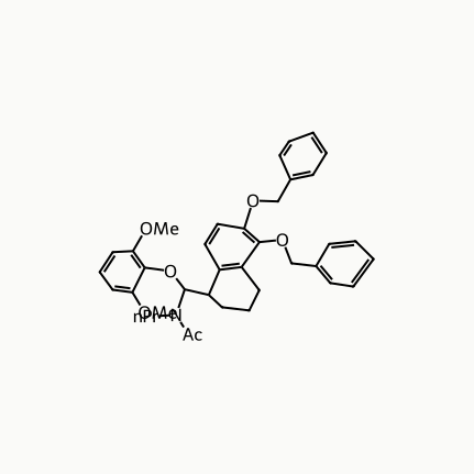 CCCN(C(C)=O)C(Oc1c(OC)cccc1OC)C1CCCc2c1ccc(OCc1ccccc1)c2OCc1ccccc1